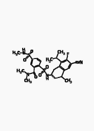 CNS(=O)(=O)c1ccc(S(=O)(=O)NC2=CC(C)c3cc(C#N)c(F)c(C(C)C)c3C2)c(C(=O)N(C)C)c1